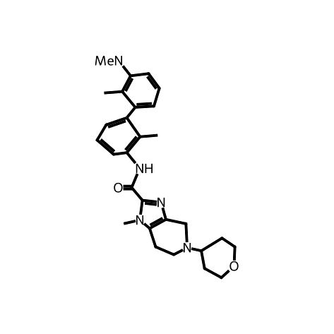 CNc1cccc(-c2cccc(NC(=O)c3nc4c(n3C)CCN(C3CCOCC3)C4)c2C)c1C